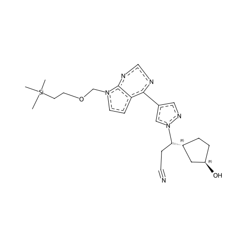 C[Si](C)(C)CCOCn1ccc2c(-c3cnn(C(CC#N)[C@@H]4CC[C@@H](O)C4)c3)ncnc21